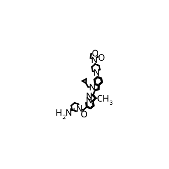 Cc1c(-c2cc3ccc(N4CCC(N5CCOC5=O)CC4)cc3n2CC2CC2)nn2cc(C(=O)N3CCC[C@@H](N)C3)ccc12